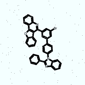 Brc1cc(-c2ccc(-n3c(-c4ccccc4)nc4ccccc43)cc2)cc(-c2nc3ccccc3c3oc4ccccc4c23)c1